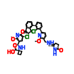 COc1nc(-c2cccc(-c3cccc4c3CC[C@@H]4Oc3nc(OC)c(CNC4(C(=O)O)CCC4)cc3Cl)c2Cl)ccc1CNC[C@@H]1CCC(=O)N1